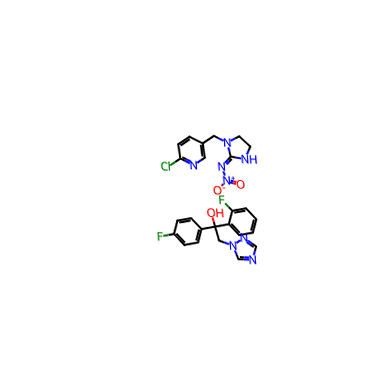 O=[N+]([O-])/N=C1\NCCN1Cc1ccc(Cl)nc1.OC(Cn1cncn1)(c1ccc(F)cc1)c1ccccc1F